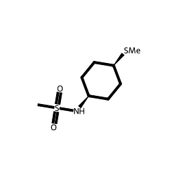 CS[C@H]1CC[C@@H](NS(C)(=O)=O)CC1